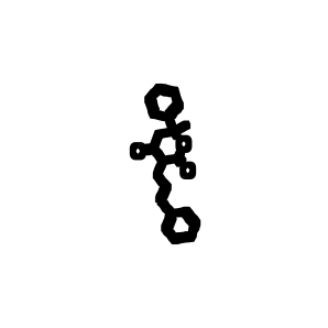 CC1(c2ccccc2)CC(=O)C(CC=Cc2ccccc2)C(=O)O1